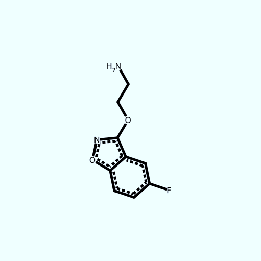 NCCOc1noc2ccc(F)cc12